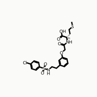 CSCC[C@H](NC(=O)COc1cccc(CCNS(=O)(=O)c2ccc(Cl)cc2)c1)C(=O)O